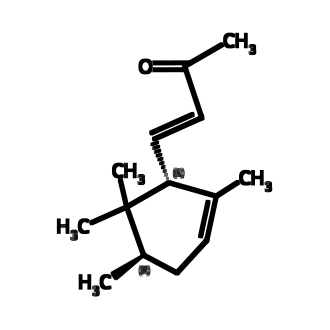 CC(=O)C=C[C@@H]1C(C)=CC[C@@H](C)C1(C)C